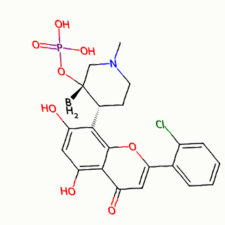 B[C@@]1(OP(=O)(O)O)CN(C)CC[C@@H]1c1c(O)cc(O)c2c(=O)cc(-c3ccccc3Cl)oc12